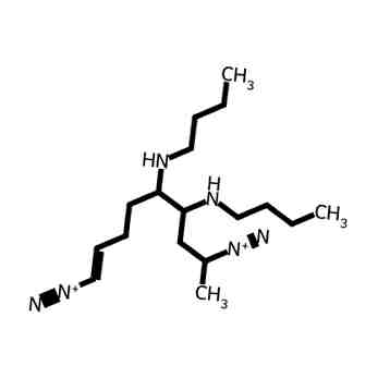 CCCCNC(CCC=C[N+]#N)C(CC(C)[N+]#N)NCCCC